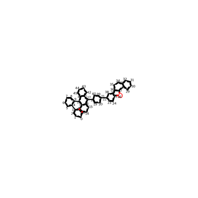 c1ccc(-c2ccccc2-c2c3ccccc3c(-c3ccc(-c4ccc5oc6c7ccccc7ccc6c5c4)cc3)c3ccccc23)cc1